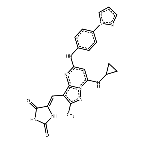 Cc1nn2c(NC3CC3)cc(Nc3ccc(-n4cccn4)cc3)nc2c1/C=C1\NC(=O)NC1=O